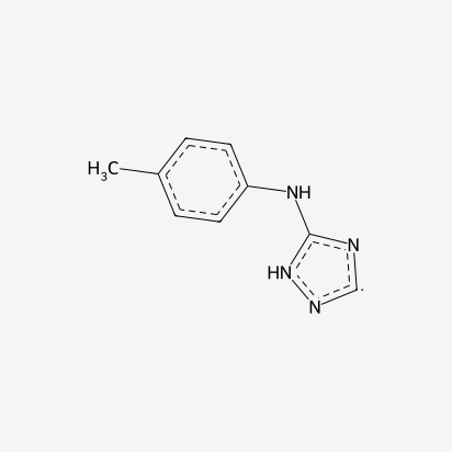 Cc1ccc(Nc2n[c]n[nH]2)cc1